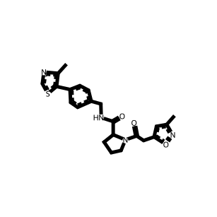 Cc1cc(CC(=O)N2CCCC2C(=O)NCc2ccc(-c3scnc3C)cc2)on1